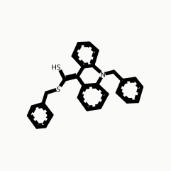 SC(SCc1ccccc1)=C1c2ccccc2N(Cc2ccccc2)c2ccccc21